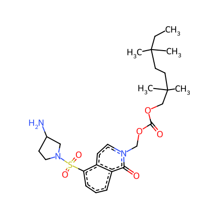 CCC(C)(C)CCC(C)(C)COC(=O)OCn1ccc2c(S(=O)(=O)N3CCC(N)C3)cccc2c1=O